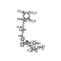 CCC(=O)NCCNC(=O)/N=C(/N)NCCC[C@@H](NC(=O)C(c1ccccc1)c1ccc(NCCCNC(=O)[C@H](N)CCCCNC(C=O)N2CCN(CC(=O)O)CCN(CC(=O)O)CCN(CC(=O)O)CC2)cc1)C(=O)NCc1ccc(O)cc1